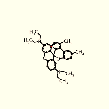 CCN(CC)c1ccc2c(c1)Oc1ccc(N(CC)CC)cc1C21Oc2ccc(C)cc2-c2c(C)c3ccccn3c21